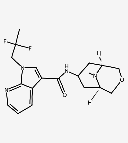 CN1[C@@H]2COC[C@H]1CC(NC(=O)c1cn(CC(C)(F)F)c3ncccc13)C2